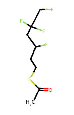 CC(=O)SCCC(F)CC(F)(F)CF